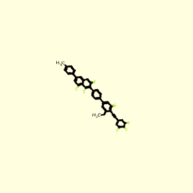 CCc1cc(-c2ccc(-c3c(F)cc4cc(-c5ccc(C)cc5)cc(F)c4c3F)cc2)cc(F)c1C#Cc1cc(F)c(F)c(F)c1